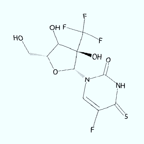 O=c1[nH]c(=S)c(F)cn1[C@@H]1O[C@H](CO)C(O)[C@]1(O)C(F)(F)F